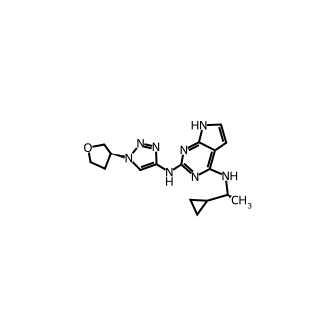 C[C@H](Nc1nc(Nc2cn([C@H]3CCOC3)nn2)nc2[nH]ccc12)C1CC1